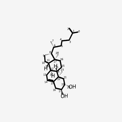 CC(C)CCC[C@@H](C)[C@H]1CC[C@H]2[C@@H]3CC=C4C[C@H](O)[C@@H](O)C[C@]4(C)[C@H]3CC[C@]12C